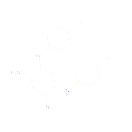 COc1ccc(Nc2cc(Nc3ccc(OC)cc3)c(N)cc2N)cc1